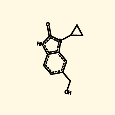 O=c1[nH]c2ccc(CO)cc2n1C1CC1